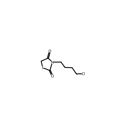 O=C1CSC(=O)N1CCCCCl